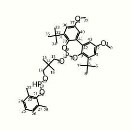 COc1cc(C(C)(C)C)c2op(OCC(C)(C)COPOc3c(C)cccc3C)oc3c(C(C)(C)C)cc(OC)cc3c2c1